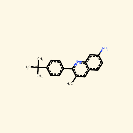 Cc1cc2ccc(N)cc2nc1-c1ccc(C(C)(C)C)cc1